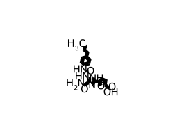 CCCCc1ccc(NC(=O)Nc2[nH]c(-c3ccc(C(=O)O)o3)nc2C(N)=O)cc1